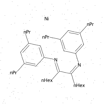 CCCCCCC(=Nc1cc(CCC)cc(CCC)c1)C(CCCCCC)=Nc1cc(CCC)cc(CCC)c1.[Ni]